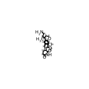 CC1(CCN)CCOc2cc3c(cc21)CN(C1CCC(=O)NC1=O)C3=O.Cl